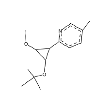 COC1C(OC(C)(C)C)C1c1ccc(C)cn1